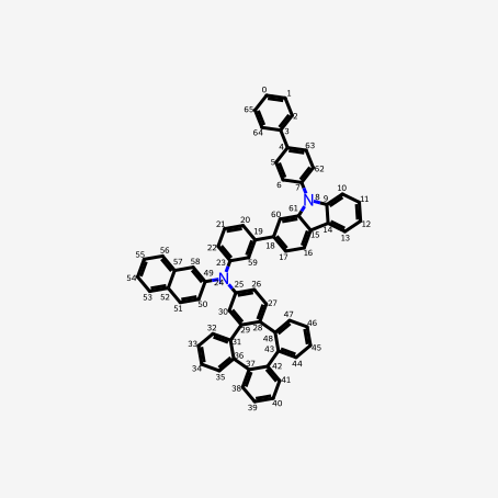 c1ccc(-c2ccc(-n3c4ccccc4c4ccc(-c5cccc(N(c6ccc7c(c6)-c6ccccc6-c6ccccc6-c6ccccc6-7)c6ccc7ccccc7c6)c5)cc43)cc2)cc1